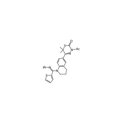 CC(=O)N1N=C(c2ccc3c(c2)CCCN3C(=NC(C)C)c2cccs2)C(C)(C)SC1=O